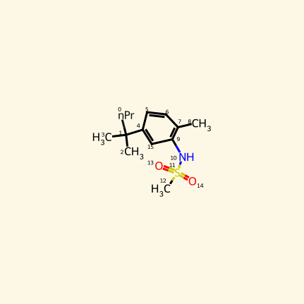 CCCC(C)(C)c1ccc(C)c(NS(C)(=O)=O)c1